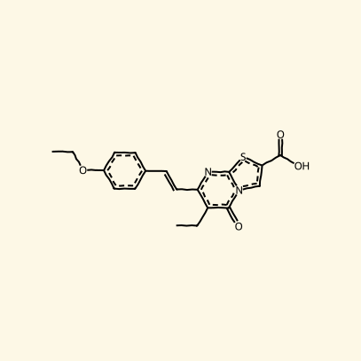 CCOc1ccc(/C=C/c2nc3sc(C(=O)O)cn3c(=O)c2CC)cc1